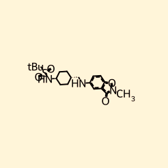 Cn1oc2ccc(NC[C@H]3CC[C@H](NS(=O)(=O)C(C)(C)C)CC3)cc2c1=O